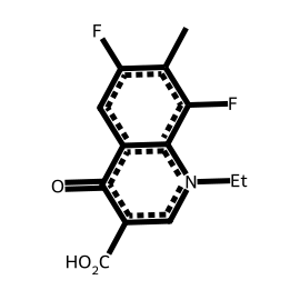 CCn1cc(C(=O)O)c(=O)c2cc(F)c(C)c(F)c21